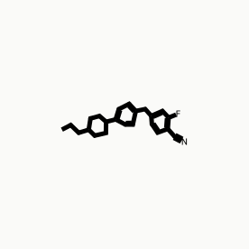 CCCC1CCC(c2ccc(Cc3ccc(C#N)c(F)c3)cc2)CC1